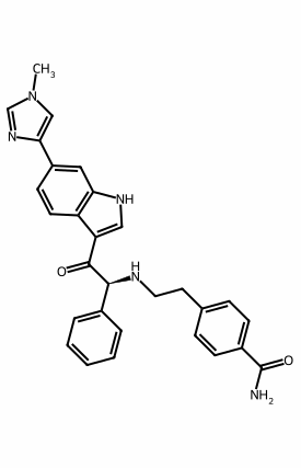 Cn1cnc(-c2ccc3c(C(=O)[C@@H](NCCc4ccc(C(N)=O)cc4)c4ccccc4)c[nH]c3c2)c1